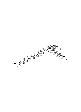 [CH2]CCCCCCCCCCCCCCCCCC(CC)CCCCCC[CH2]